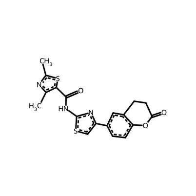 Cc1nc(C)c(C(=O)Nc2nc(-c3ccc4c(c3)CCC(=O)O4)cs2)s1